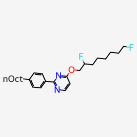 CCCCCCCCc1ccc(-c2nccc(OCC(F)CCCCCCF)n2)cc1